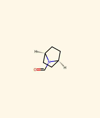 O=CN1[C@H]2CC[C@@H]1CC2